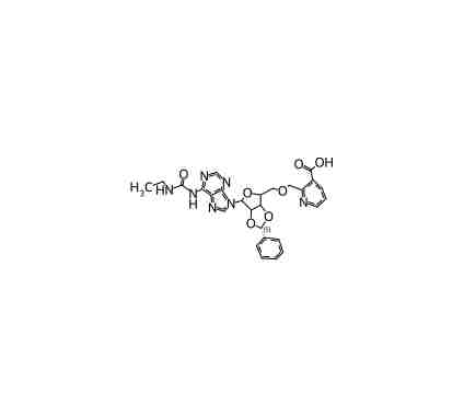 CCNC(=O)Nc1ncnc2c1ncn2C1OC(COCc2ncccc2C(=O)O)C2O[C@H](c3ccccc3)OC21